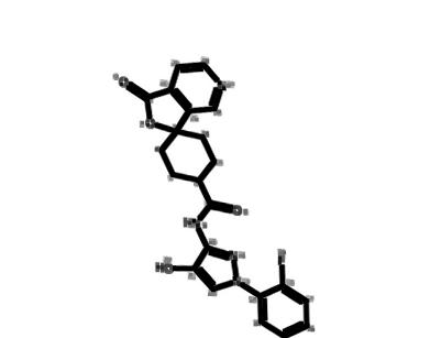 O=C1OC2(CCC(C(=O)Nc3nn(-c4ccccc4F)cc3O)CC2)c2cnccc21